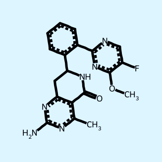 COc1nc(-c2ccccc2C2Cc3nc(N)nc(C)c3C(=O)N2)ncc1F